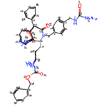 NC(=O)NCc1ccc(CN(C(=O)C(c2ccccc2)c2ccccc2)[C@H](CCCNC(=O)OCc2ccccc2)C(N)=O)cc1